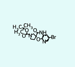 CC(C)(C)OC(=O)N1CCC2(C1)Oc1ncc(Br)cc1NC2=O